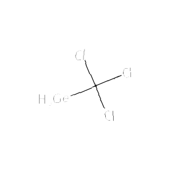 Cl[C](Cl)(Cl)[GeH3]